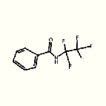 O=C(NC(F)(F)C(F)(F)F)c1ccccc1